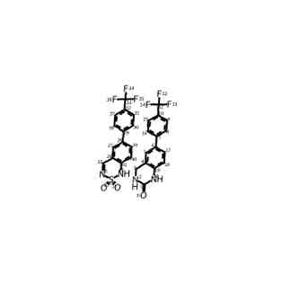 O=C1NCc2cc(-c3ccc(C(F)(F)F)cc3)ccc2N1.O=S1(=O)N=Cc2cc(-c3ccc(C(F)(F)F)cc3)ccc2N1